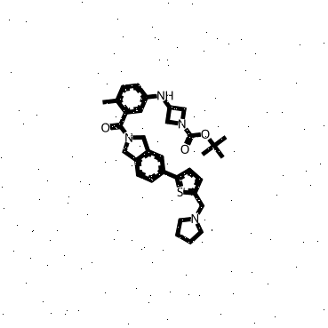 Cc1ccc(NC2CN(C(=O)OC(C)(C)C)C2)cc1C(=O)N1Cc2ccc(-c3ccc(CN4CCCC4)s3)cc2C1